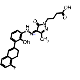 CC1=NN(CCCC(=O)O)C(=O)/C1=N\Nc1cccc(C2=Cc3cccc(F)c3CC2)c1O